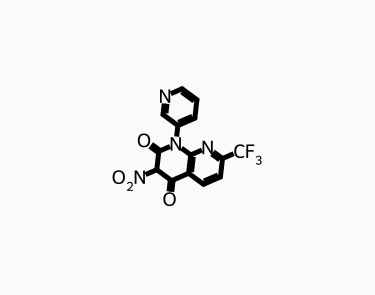 O=C1c2ccc(C(F)(F)F)nc2N(c2cccnc2)C(=O)C1[N+](=O)[O-]